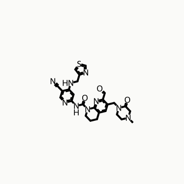 CN1CCN(Cc2cc3c(nc2C=O)N(C(=O)Nc2cc(NCc4cscn4)c(C#N)cn2)CCC3)C(=O)C1